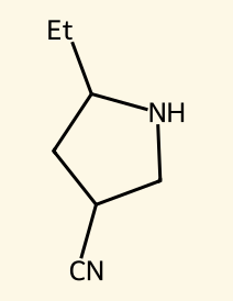 CCC1CC(C#N)CN1